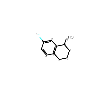 O=CC1CCCc2ccc(F)cc21